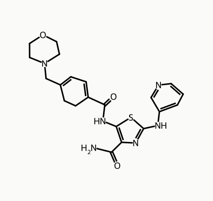 NC(=O)c1nc(Nc2cccnc2)sc1NC(=O)C1=CC=C(CN2CCOCC2)CC1